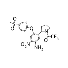 CS(=O)(=O)c1ccc(Oc2cc([N+](=O)[O-])c(N)cc2C2CCCN2C(=O)C(F)(F)F)cc1